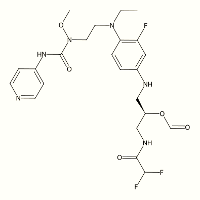 CCN(CCN(OC)C(=O)Nc1ccncc1)c1ccc(NC[C@H](CNC(=O)C(F)F)OC=O)cc1F